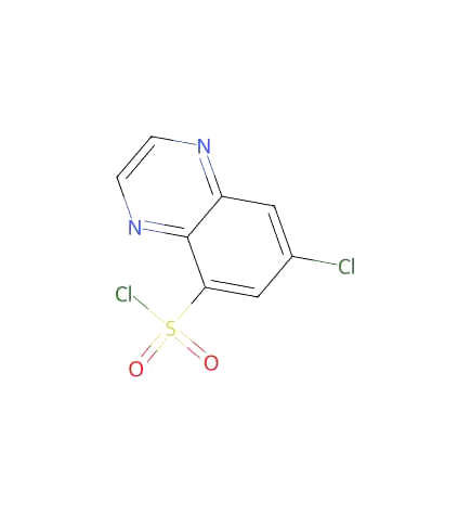 O=S(=O)(Cl)c1cc(Cl)cc2nccnc12